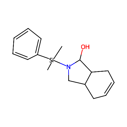 C[Si](C)(c1ccccc1)N1CC2CC=CCC2C1O